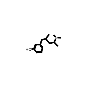 CC(Cc1cccc(O)c1)CC(C)N(C)C